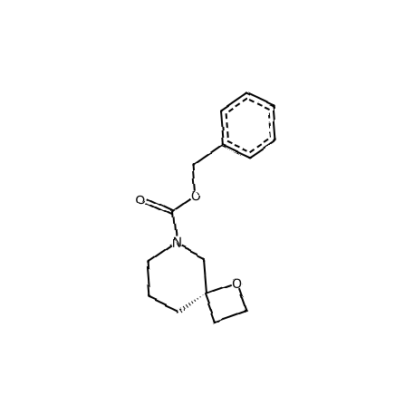 O=C(OCc1ccccc1)N1CCC[C@]2(CCO2)C1